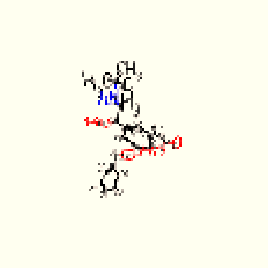 CC(=O)O.CC(C)(C)NCC(O)c1cccc(OCc2ccccc2)c1